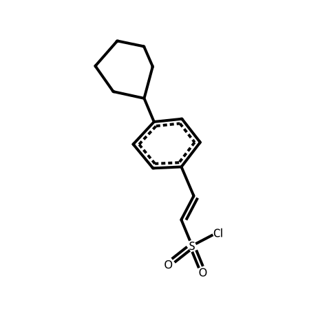 O=S(=O)(Cl)/C=C/c1ccc(C2CCCCC2)cc1